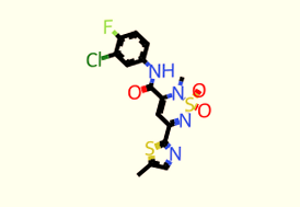 Cc1cnc(C2=NS(=O)(=O)N(C)C(C(=O)Nc3ccc(F)c(Cl)c3)=C2)s1